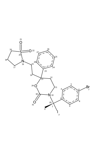 C[C@](I)(c1ccc(Br)cc1)N1CCC(CCN2CCCS2(=O)=O)(c2ccccc2)OC1=O